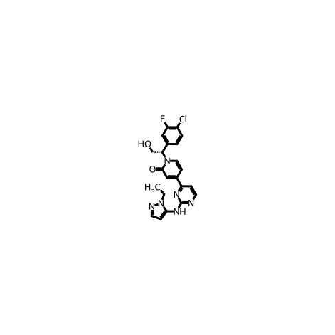 CCn1nccc1Nc1nccc(-c2ccn([C@H](CO)c3ccc(Cl)c(F)c3)c(=O)c2)n1